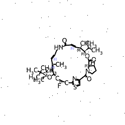 CC1=C\C(O[Si](C)(C)C(C)(C)C)C[C@@H](F)Cc2nc(cs2)C(=O)N2CCC[C@@H]2C(=O)O[C@H](C(C)C)[C@H](C)/C=C/C(=O)NC\C=C\1